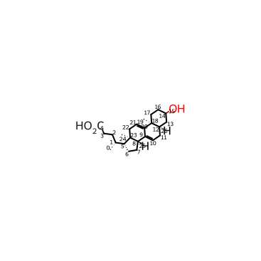 C[C@H](CCC(=O)O)[C@H]1CC[C@H]2C3=CC[C@@H]4C[C@H](O)CC[C@]4(C)C3=CC[C@]12C